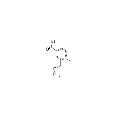 CCC(=O)c1ccc(C)c(COP)c1